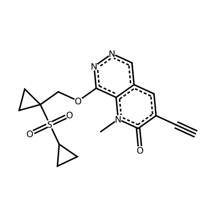 C#Cc1cc2cnnc(OCC3(S(=O)(=O)C4CC4)CC3)c2n(C)c1=O